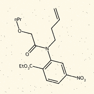 C=CCCN(C(=O)COCCC)c1cc([N+](=O)[O-])ccc1C(=O)OCC